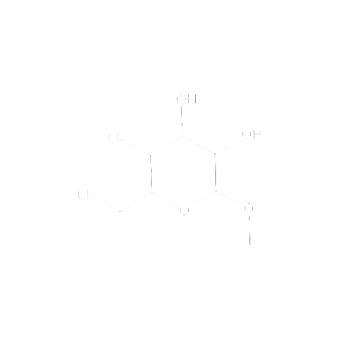 COC1OC(CCl)C(Cl)C(O)C1O